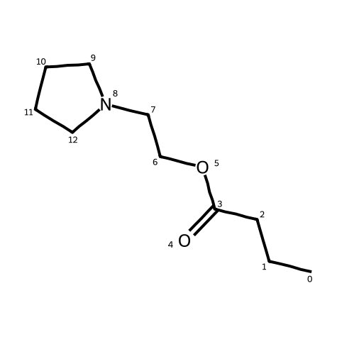 CCCC(=O)OCCN1CCCC1